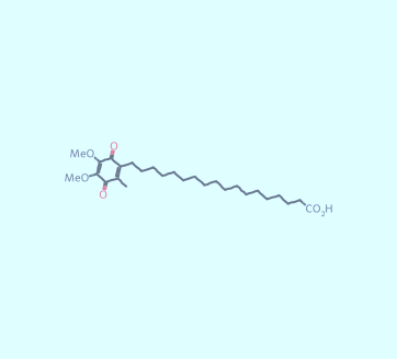 COC1=C(OC)C(=O)C(CCCCCCCCCCCCCCCCCC(=O)O)=C(C)C1=O